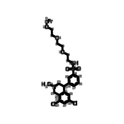 CCCOCCOCCOCCNS(=O)(=O)c1cccc(C2CN(C)Cc3c(Cl)cc(Cl)cc32)c1